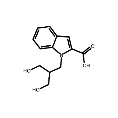 O=C(O)c1cc2ccccc2n1CC(CO)CO